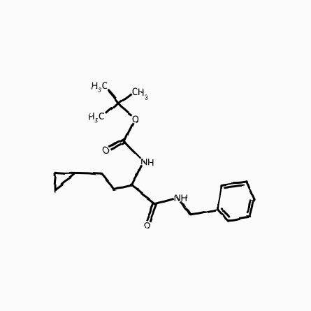 CC(C)(C)OC(=O)NC(CCC1CC1)C(=O)NCc1ccccc1